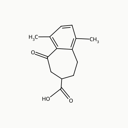 Cc1ccc(C)c2c1CCC(C(=O)O)CC2=O